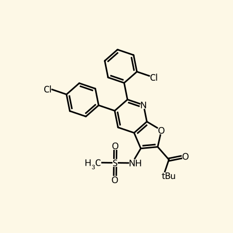 CC(C)(C)C(=O)c1oc2nc(-c3ccccc3Cl)c(-c3ccc(Cl)cc3)cc2c1NS(C)(=O)=O